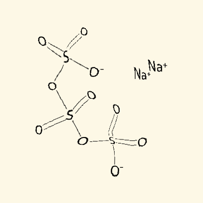 O=S(=O)([O-])OS(=O)(=O)OS(=O)(=O)[O-].[Na+].[Na+]